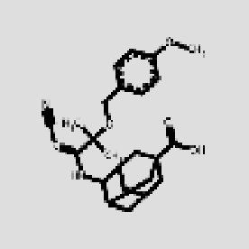 COc1ccc(COC(C)(C)/C(=N\C#N)NC2C3CC4CC2CC(C(=O)O)(C4)C3)cc1